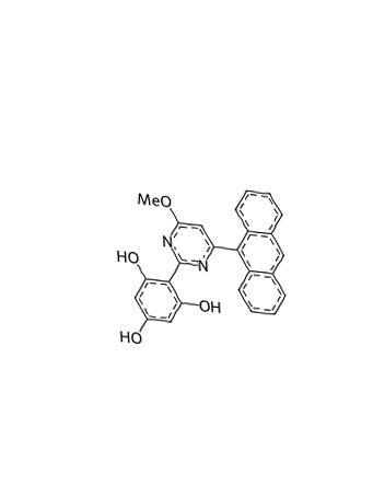 COc1cc(-c2c3ccccc3cc3ccccc23)nc(-c2c(O)cc(O)cc2O)n1